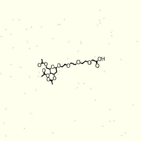 CC(=O)OCC1OC(OCCOCCOCCOCC(=O)O)CC(OC(C)=O)C1OC(C)=O